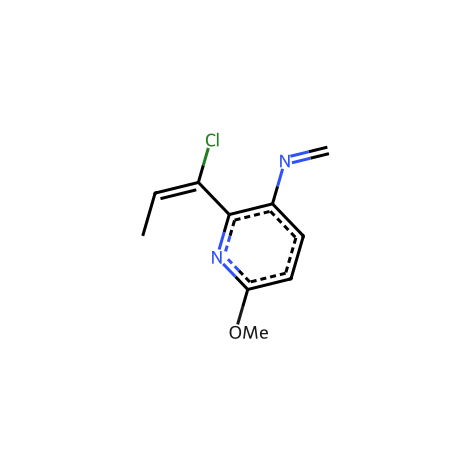 C=Nc1ccc(OC)nc1/C(Cl)=C\C